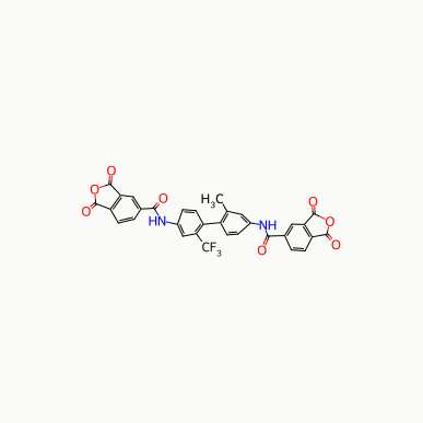 Cc1cc(NC(=O)c2ccc3c(c2)C(=O)OC3=O)ccc1-c1ccc(NC(=O)c2ccc3c(c2)C(=O)OC3=O)cc1C(F)(F)F